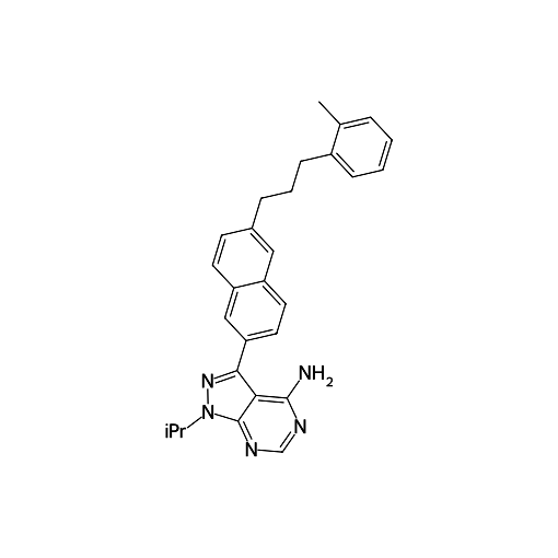 Cc1ccccc1CCCc1ccc2cc(-c3nn(C(C)C)c4ncnc(N)c34)ccc2c1